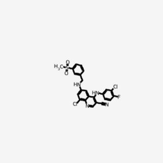 CS(=O)(=O)c1cccc(CNc2cc(Cl)c3ncc(C#N)c(Nc4ccc(F)c(Cl)c4)c3c2)c1